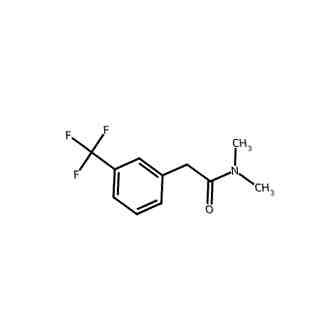 CN(C)C(=O)Cc1cccc(C(F)(F)F)c1